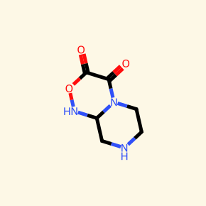 O=C1ONC2CNCCN2C1=O